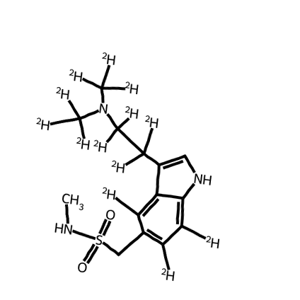 [2H]c1c(CS(=O)(=O)NC)c([2H])c2c(C([2H])([2H])C([2H])([2H])N(C([2H])([2H])[2H])C([2H])([2H])[2H])c[nH]c2c1[2H]